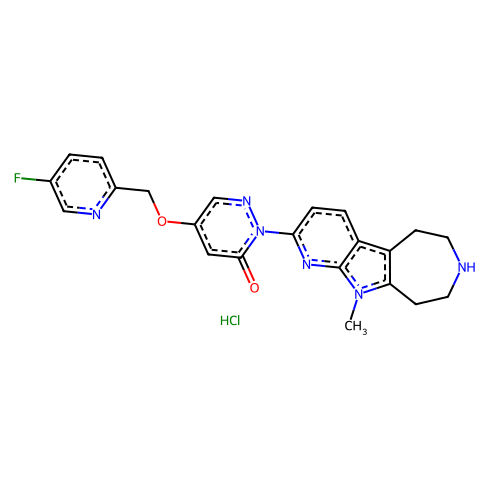 Cl.Cn1c2c(c3ccc(-n4ncc(OCc5ccc(F)cn5)cc4=O)nc31)CCNCC2